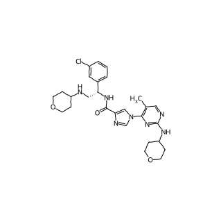 Cc1cnc(NC2CCOCC2)nc1-n1cnc(C(=O)N[C@H](CNC2CCOCC2)c2cccc(Cl)c2)c1